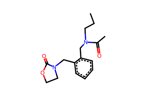 CCCN(Cc1ccccc1CN1CCOC1=O)C(C)=O